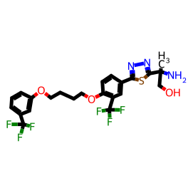 CC(N)(CO)c1nnc(-c2ccc(OCCCCOc3cccc(C(F)(F)F)c3)c(C(F)(F)F)c2)s1